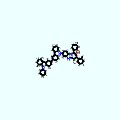 Cc1cccc2oc3c(c4oc5ccccc5c4n4c5ccc(-n6c7ccccc7c7cc(-c8ccc9c(c8)c8ccccc8n9-c8ccccc8)ccc76)cc5nc34)c12